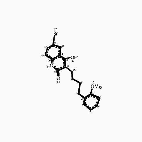 COc1ccccc1CCCCc1c(O)c2cc(Br)ccc2oc1=O